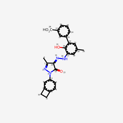 CC1=NN(c2ccc3c(c2)CC3)C(=O)C1=NNc1cc(C)cc(-c2cccc(C(=O)O)c2)c1O